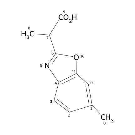 Cc1ccc2nc(C(C)C(=O)O)oc2c1